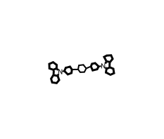 c1ccc2c(c1)c1ccccc1n2-c1ccc(C2CCC(c3ccc(-n4c5ccccc5c5ccccc54)cc3)CC2)cc1